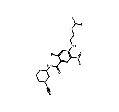 N#CB1CCCC(NC(=O)c2cc([N+](=O)[O-])c(NCCOC(F)F)cc2F)C1